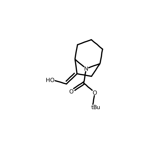 CC(C)(C)OC(=O)N1C2CCCC1C(=CO)C2